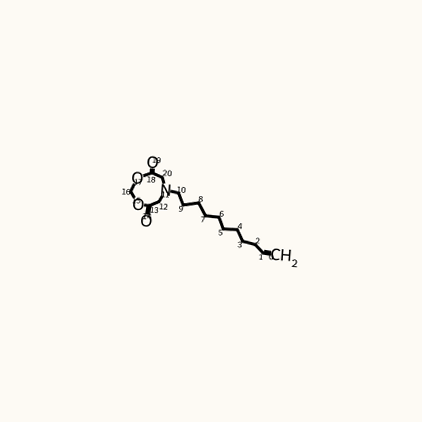 C=CCCCCCCCCCN1CC(=O)OCOC(=O)C1